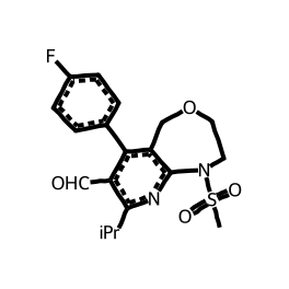 CC(C)c1nc2c(c(-c3ccc(F)cc3)c1C=O)COCCN2S(C)(=O)=O